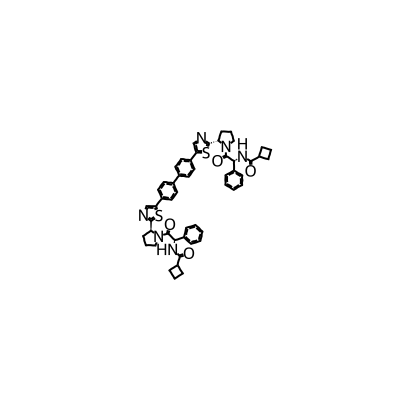 O=C(N[C@H](C(=O)N1CCC[C@H]1c1ncc(-c2ccc(-c3ccc(-c4cnc([C@@H]5CCCN5C(=O)[C@H](NC(=O)C5CCC5)c5ccccc5)s4)cc3)cc2)s1)c1ccccc1)C1CCC1